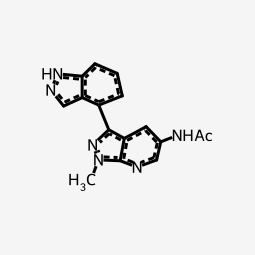 CC(=O)Nc1cnc2c(c1)c(-c1cccc3[nH]ncc13)nn2C